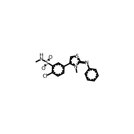 CNS(=O)(=O)c1cc(-c2csc(=Nc3ccccc3)n2C)ccc1Cl